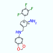 N[C@H]1CC(CNc2ccc3c(c2)OCO3)=CC[C@@H]1c1cc(F)c(F)cc1F